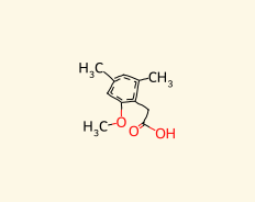 COc1cc(C)cc(C)c1CC(=O)O